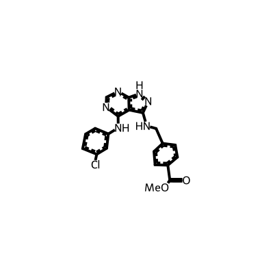 COC(=O)c1ccc(CNc2n[nH]c3ncnc(Nc4cccc(Cl)c4)c23)cc1